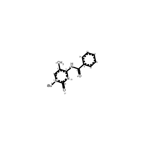 CCC(C)n1cc(C)c(NC(=O)c2ccccc2)nc1=O